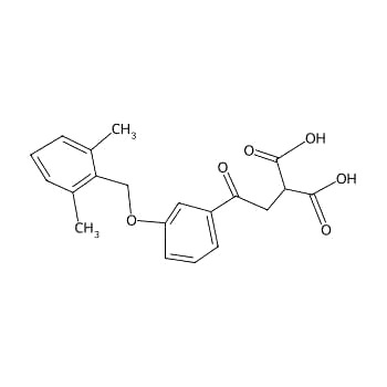 Cc1cccc(C)c1COc1cccc(C(=O)CC(C(=O)O)C(=O)O)c1